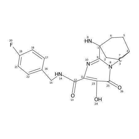 [NH]C12CCC(CC1)Cn1c2nc(C(=O)NCc2ccc(F)cc2)c(O)c1=O